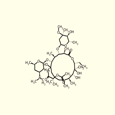 CC[C@H]1OC(=O)[C@H](C)[C@@H](O[C@H]2C[C@@](C)(OC)[C@@H](O)[C@H](C)O2)[C@H](C)[C@@H](O[C@@H]2O[C@H](C)C[C@H](N(C)C)[C@H]2OC(=O)[C@@H](C)OC(C)=O)[C@](C)(O)C[C@@H](C)CN(C)[C@H](C)[C@@H](O)[C@]1(C)O